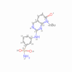 CCCCn1c(=O)ccc2cnc(Nc3cccc(S(N)(=O)=O)c3)nc21